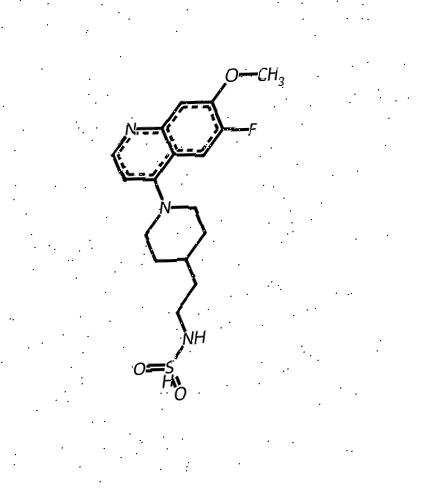 COc1cc2nccc(N3CCC(CCN[SH](=O)=O)CC3)c2cc1F